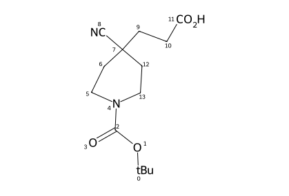 CC(C)(C)OC(=O)N1CCC(C#N)(CCC(=O)O)CC1